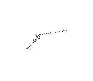 CCCCCCCCCCCCCCCCCC1OCC(COCCCCCCO)O1